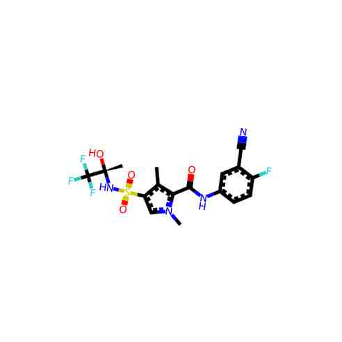 Cc1c(S(=O)(=O)N[C@@](C)(O)C(F)(F)F)cn(C)c1C(=O)Nc1ccc(F)c(C#N)c1